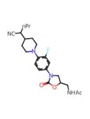 CCCC(C#N)C1CCN(c2ccc(N3CC(CNC(C)=O)OC3=O)cc2F)CC1